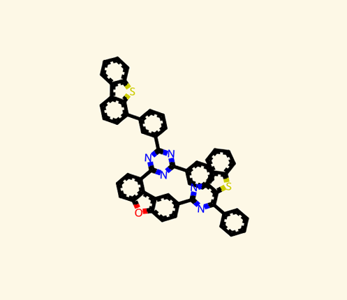 c1ccc(-c2nc(-c3cccc(-c4cccc5c4sc4ccccc45)c3)nc(-c3cccc4oc5ccc(-c6nc(-c7ccccc7)c7sc8ccccc8c7n6)cc5c34)n2)cc1